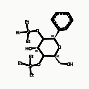 CC[Si](CC)(CC)OC1[C@H](O)C(O[Si](CC)(CC)CC)[C@H](c2ccccc2)O[C@@H]1CO